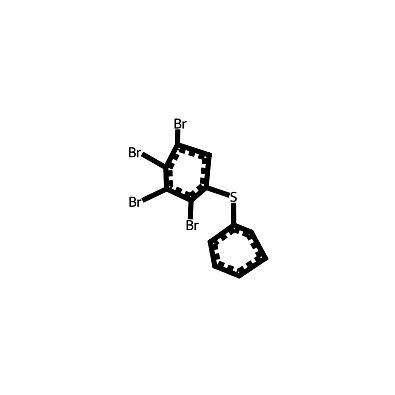 Brc1cc(Sc2ccccc2)c(Br)c(Br)c1Br